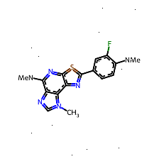 CNc1ccc(-c2nc3c(nc(NC)c4ncn(C)c43)s2)cc1F